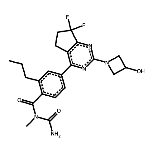 CCCc1cc(-c2nc(N3CC(O)C3)nc3c2CCC3(F)F)ccc1C(=O)N(C)C(N)=O